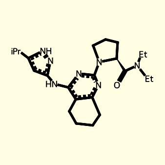 CCN(CC)C(=O)[C@@H]1CCCN1c1nc2c(c(Nc3cc(C(C)C)[nH]n3)n1)CCCC2